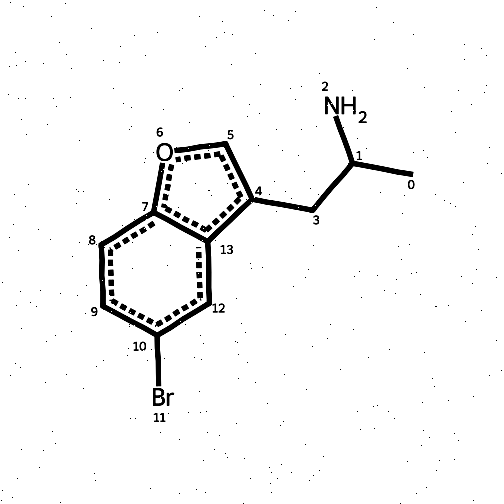 CC(N)Cc1coc2ccc(Br)cc12